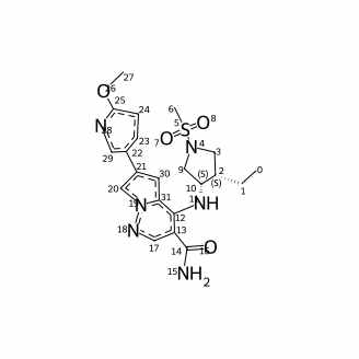 CC[C@H]1CN(S(C)(=O)=O)C[C@H]1Nc1c(C(N)=O)cnn2cc(-c3ccc(OC)nc3)cc12